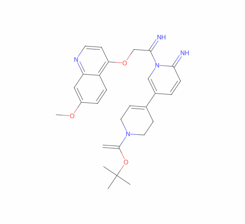 C=C(OC(C)(C)C)N1CC=C(c2ccc(=N)n(C(=N)COc3ccnc4cc(OC)ccc34)c2)CC1